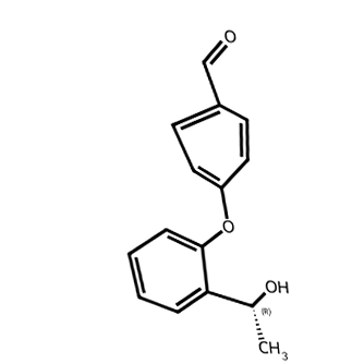 C[C@@H](O)c1ccccc1Oc1ccc(C=O)cc1